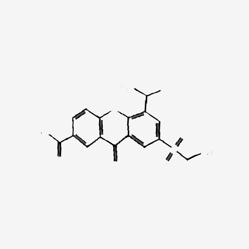 CCS(=O)(=O)c1cc(C(C)C)c2oc3ccc(C(=O)O)cc3c(=O)c2c1